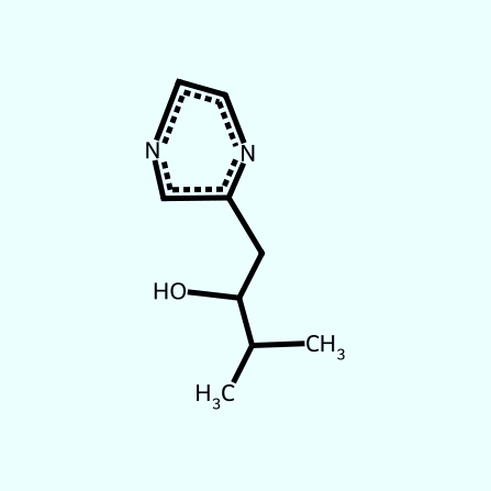 CC(C)C(O)Cc1cnccn1